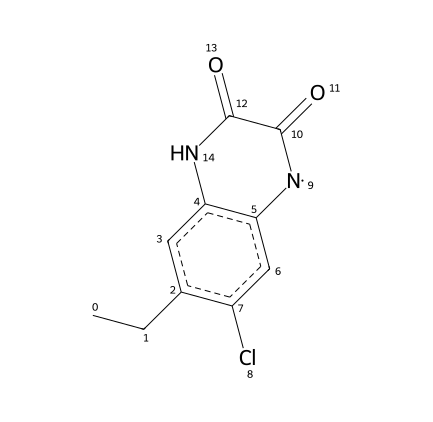 CCc1cc2c(cc1Cl)[N]C(=O)C(=O)N2